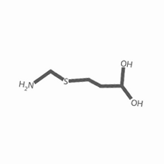 NCSCCC(O)O